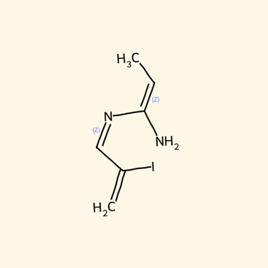 C=C(I)/C=N\C(N)=C/C